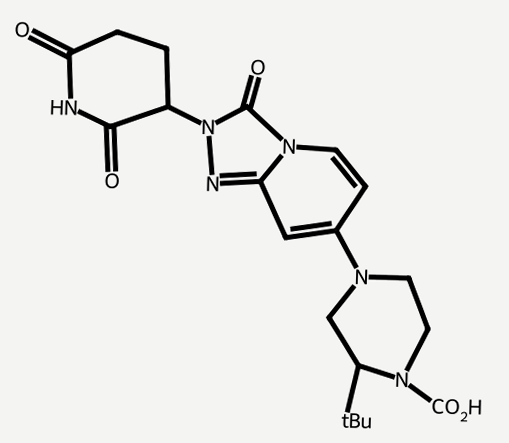 CC(C)(C)C1CN(c2ccn3c(=O)n(C4CCC(=O)NC4=O)nc3c2)CCN1C(=O)O